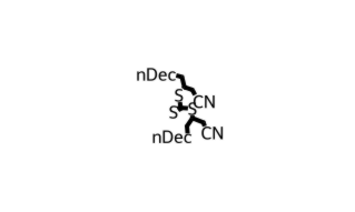 CCCCCCCCCCCC(CC#N)SC(=S)SC(CC#N)CCCCCCCCCCC